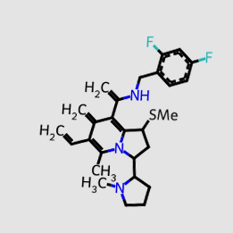 C=CC1=C(C)N2C(=C(C(=C)NCc3ccc(F)cc3F)C1=C)C(SC)CC2C1CCCN1C